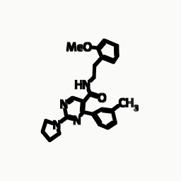 COc1ccccc1CCNC(=O)c1cnc(N2CCCC2)nc1-c1cccc(C)c1